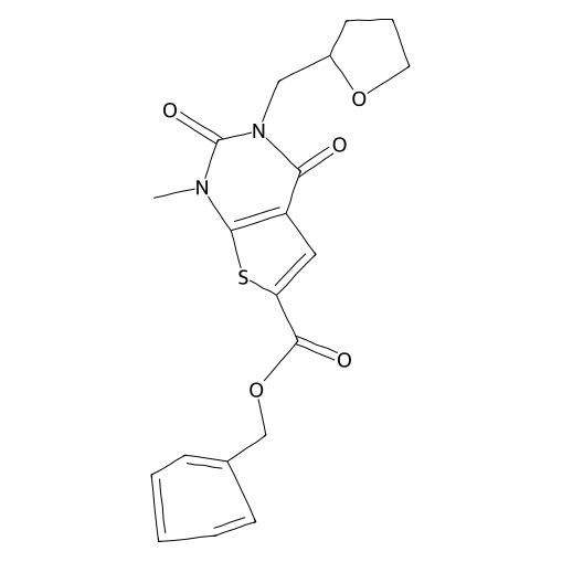 Cn1c(=O)n(CC2CCCO2)c(=O)c2cc(C(=O)OCc3ccccc3)sc21